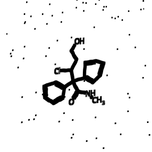 CNC(=O)C(c1ccccc1)(c1ccccc1)C(Cl)CCO